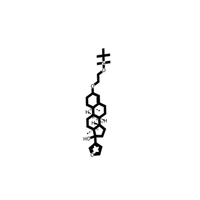 CC(C)(C)[Si](C)(C)OCCOC1C=C2CC[C@@H]3[C@@H](CC[C@@]4(C)[C@H]3CCC4(O)c3ccoc3)[C@@]2(C)CC1